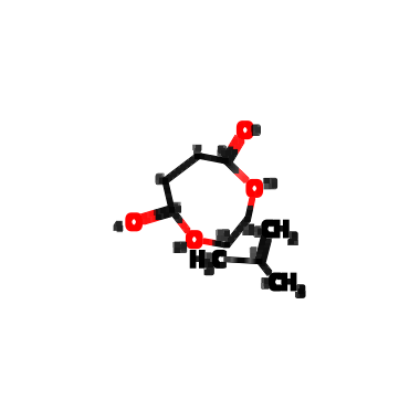 C=C(C)C.O=C1CCC(=O)OCCO1